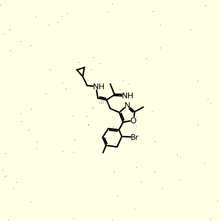 CC(=N)/C(=C\NCC1CC1)Cc1nc(C)oc1C1=CC=C(C)CC1Br